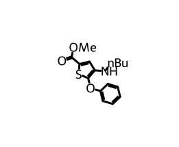 CCCCNc1cc(C(=O)OC)sc1Oc1ccccc1